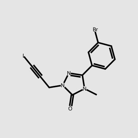 Cn1c(-c2cccc(Br)c2)nn(CC#CI)c1=O